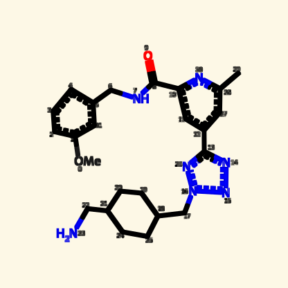 COc1cccc(CNC(=O)c2cc(-c3nnn(CC4CCC(CN)CC4)n3)cc(C)n2)c1